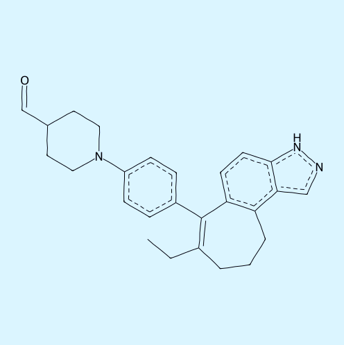 CCC1=C(c2ccc(N3CCC(C=O)CC3)cc2)c2ccc3[nH]ncc3c2CCC1